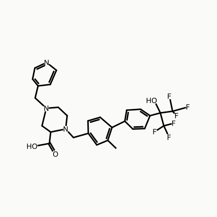 Cc1cc(CN2CCN(Cc3ccncc3)CC2C(=O)O)ccc1-c1ccc(C(O)(C(F)(F)F)C(F)(F)F)cc1